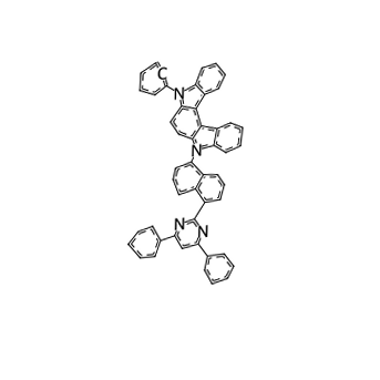 c1ccc(-c2cc(-c3ccccc3)nc(-c3cccc4c(-n5c6ccccc6c6c7c8ccccc8n(-c8ccccc8)c7ccc65)cccc34)n2)cc1